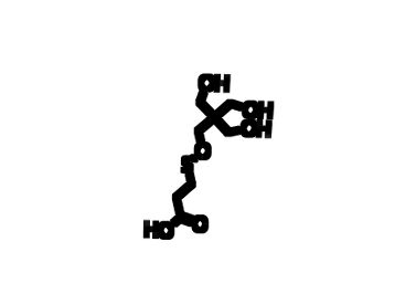 O=C(O)CCSOCC(CO)(CO)CO